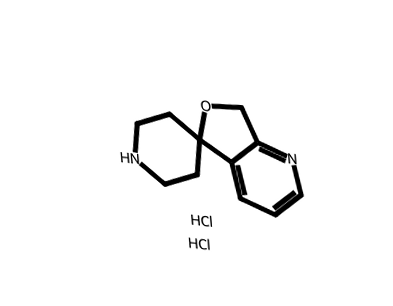 Cl.Cl.c1cnc2c(c1)C1(CCNCC1)OC2